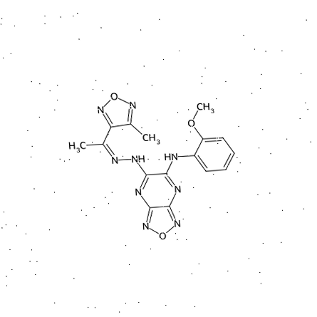 COc1ccccc1Nc1nc2nonc2nc1N/N=C(/C)c1nonc1C